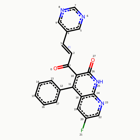 O=C(/C=C/c1cncnc1)c1c(-c2ccccc2)c2cc(F)cnc2[nH]c1=O